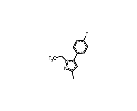 Cc1cc(-c2ccc(F)cc2)n(CC(F)(F)F)n1